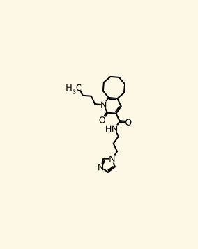 CCCCn1c2c(cc(C(=O)NCCCn3ccnc3)c1=O)CCCCCC2